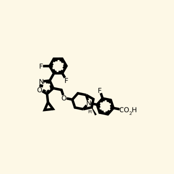 C[C@@H]1CC2CC(OCc3c(-c4c(F)cccc4F)noc3C3CC3)CC1N2c1ccc(C(=O)O)cc1F